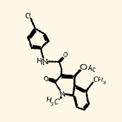 CC(=O)Oc1c(C(=O)Nc2ccc(Cl)cc2)c(=O)n(C)c2cccc(C)c12